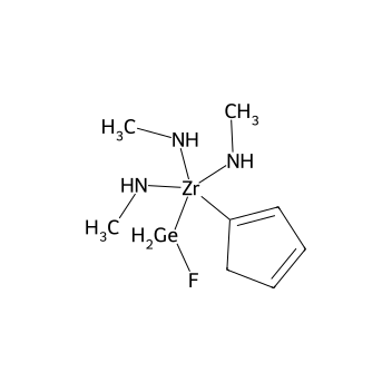 C[NH][Zr]([NH]C)([NH]C)([GeH2][F])[C]1=CC=CC1